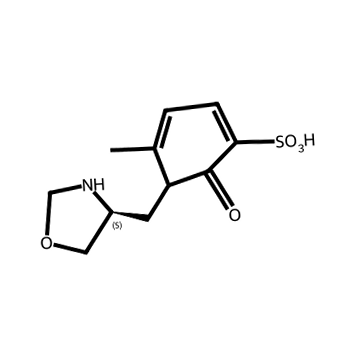 CC1=CC=C(S(=O)(=O)O)C(=O)C1C[C@H]1COCN1